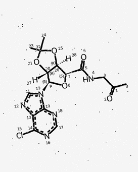 CC(=O)CNC(=O)[C@H]1O[C@@H](n2cnc3c(Cl)ncnc32)[C@@H]2OC(C)(C)O[C@H]21